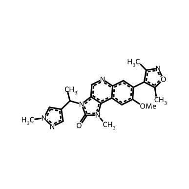 COc1cc2c(cc1-c1c(C)noc1C)ncc1c2n(C)c(=O)n1C(C)c1cnn(C)c1